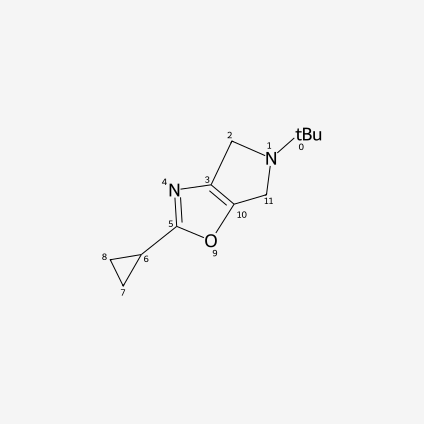 CC(C)(C)N1Cc2nc(C3CC3)oc2C1